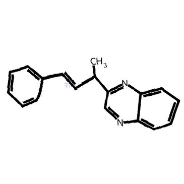 CC(/C=C/c1ccccc1)c1cnc2ccccc2n1